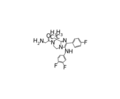 CC1(C)c2nc(-c3ccc(F)cc3)c(Nc3ccc(F)c(F)c3)n2CCN1C(=O)CN